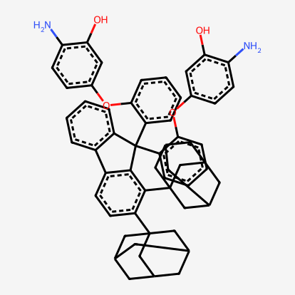 Nc1ccc(Oc2ccccc2C2(c3ccccc3Oc3ccc(N)c(O)c3)c3ccccc3-c3ccc(C45CC6CC(CC(C6)C4)C5)c(C45CC6CC(CC(C6)C4)C5)c32)cc1O